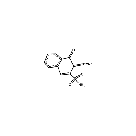 [N-]=[N+]=C1C(=O)c2ccccc2C=C1S(N)(=O)=O